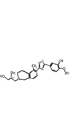 Cc1c(-c2noc(-c3ccc(OC(C)C)c(C#N)c3)n2)ccc2c1CCN(C[C@H](O)CO)C2